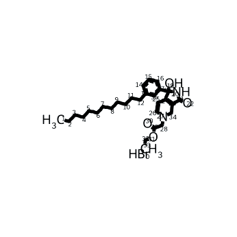 Br.CCCCCCCCCCCCc1cccc(C2(O)NC(=O)C3=C2C=CN(CC(=O)OCC)C3)c1